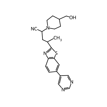 CC(CC(C#N)N1CCC(CO)CC1)c1nc2ccc(-c3cncnc3)cc2s1